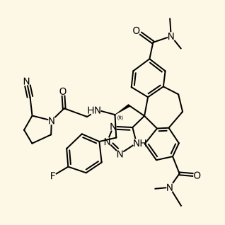 CN(C)C(=O)c1ccc2c(c1)CCc1cc(C(=O)N(C)C)ccc1C2(C[C@@H](Cc1ccc(F)cc1)NCC(=O)N1CCCC1C#N)c1nnn[nH]1